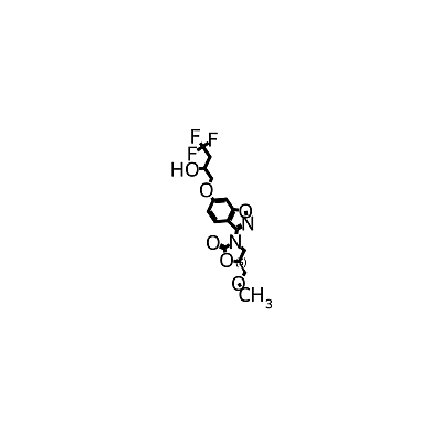 COC[C@@H]1CN(c2noc3cc(OCC(O)CC(F)(F)F)ccc23)C(=O)O1